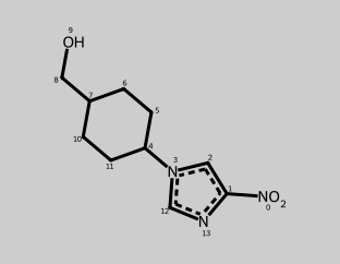 O=[N+]([O-])c1cn(C2CCC(CO)CC2)cn1